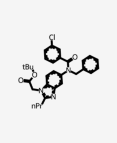 CCCc1nc2cc(N(Cc3ccccc3)C(=O)c3cccc(Cl)c3)ccc2n1CC(=O)OC(C)(C)C